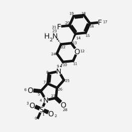 CS(=O)(=O)N1C(=O)C2=CN([C@H]3CO[C@H](c4cc(F)ccc4F)[C@@H](N)C3)CC2C1=O